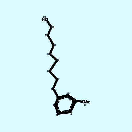 CC(=O)Oc1cccc(CCCCCCCCO)c1